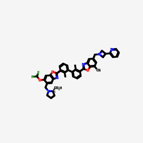 Cc1c(-c2nc3cc(CN4CCC[C@H]4C(=O)O)c(OC(F)F)cc3o2)cccc1-c1cccc(-c2nc3cc(CN4CC(c5ccccn5)C4)cc(C#N)c3o2)c1C